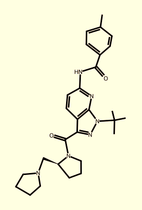 Cc1ccc(C(=O)Nc2ccc3c(C(=O)N4CCC[C@H]4CN4CCCC4)nn(C(C)(C)C)c3n2)cc1